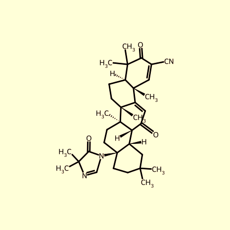 CC1(C)CC[C@]2(N3C=NC(C)(C)C3=O)CC[C@]3(C)[C@H](C(=O)C=C4[C@@]5(C)C=C(C#N)C(=O)C(C)(C)[C@@H]5CC[C@]43C)[C@@H]2C1